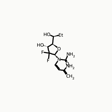 C=C(N)/C=C\N(C(N)=O)[C@@H]1O[C@H]([C@@H](O)CC)[C@@H](O)C1(F)F